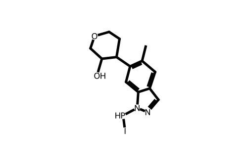 Cc1cc2cnn(PI)c2cc1C1CCOCC1O